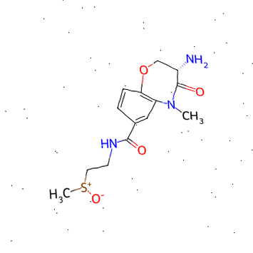 CN1C(=O)[C@@H](N)COc2ccc(C(=O)NCC[S+](C)[O-])cc21